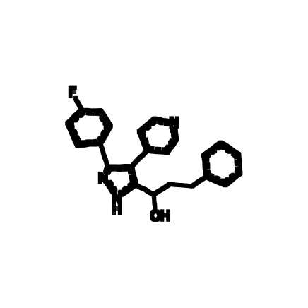 OC(CCc1ccccc1)c1[nH]nc(-c2ccc(F)cc2)c1-c1ccncc1